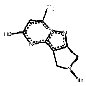 CC(C)N1Cc2nn3c(C(F)(F)F)cc(O)nc3c2C1